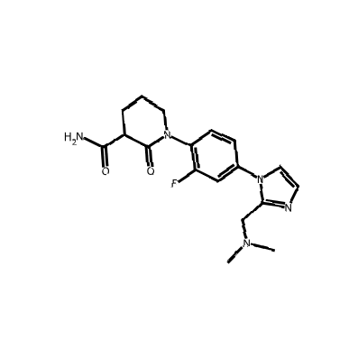 CN(C)Cc1nccn1-c1ccc(N2CCCC(C(N)=O)C2=O)c(F)c1